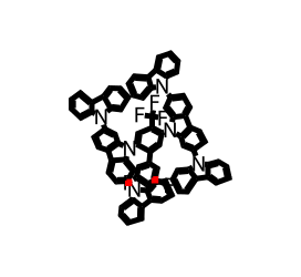 Fc1cc(F)cc(-c2cc(-n3c4cc(-n5c6ccccc6c6ccccc65)ccc4c4ccc(-n5c6ccccc6c6ccccc65)cc43)c(C(F)(F)F)cc2-n2c3cc(-n4c5ccccc5c5ccccc54)ccc3c3ccc(-n4c5ccccc5c5ccccc54)cc32)c1